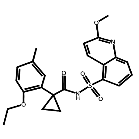 CCOc1ccc(C)cc1C1(C(=O)NS(=O)(=O)c2cccc3nc(OC)ccc23)CC1